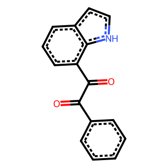 O=C(C(=O)c1cccc2cc[nH]c12)c1ccccc1